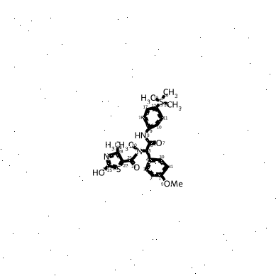 COc1ccc(C(C(=O)Nc2ccc(S(C)(C)C)cc2)N(C)C(=O)c2sc(O)nc2C)cc1